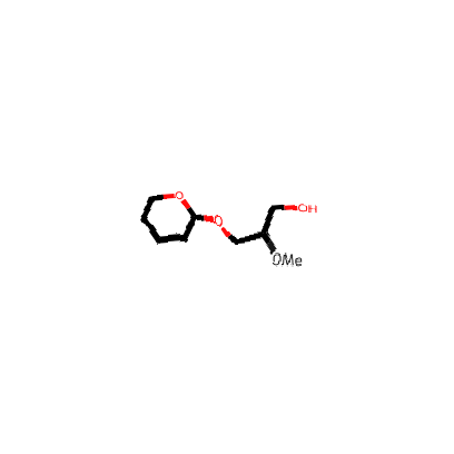 COC(CO)COC1CCCCO1